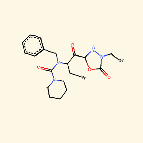 CC(C)CC(C(=O)C1NN(CC(C)C)C(=O)O1)N(Cc1ccccc1)C(=O)N1[CH]CCCC1